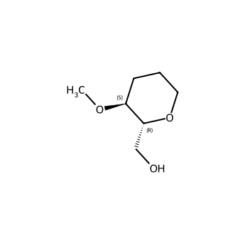 CO[C@H]1CCCO[C@@H]1CO